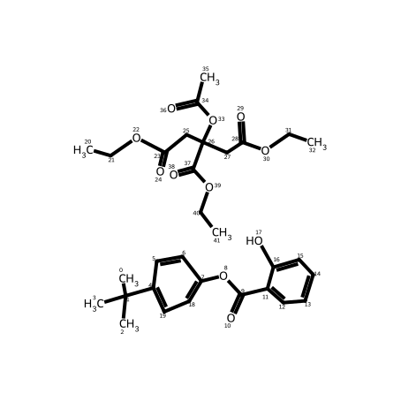 CC(C)(C)c1ccc(OC(=O)c2ccccc2O)cc1.CCOC(=O)CC(CC(=O)OCC)(OC(C)=O)C(=O)OCC